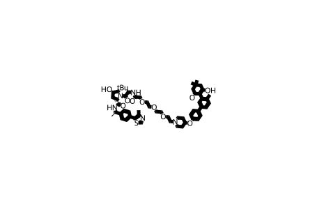 Cc1ccc(-c2ccc(OC3CCN(CCOCCOCCOCC(=O)N[C@H](C(=O)N4C[C@H](O)C[C@H]4C(=O)N[C@@H](C)c4ccc(-c5scnc5C)cc4)C(C)(C)C)CC3)cc2)cc1C1=C(O)CC(C)(C)CC1=O